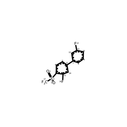 O=S(=O)(c1ccc(-c2cccc(F)c2)cc1F)C(F)(F)F